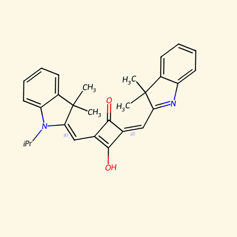 CC(C)N1/C(=C/C2=C(O)C(=C/C3=Nc4ccccc4C3(C)C)/C2=O)C(C)(C)c2ccccc21